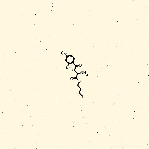 Nc1cc(Cl)ccc1C(=O)CC(N)C(=O)OCCCI